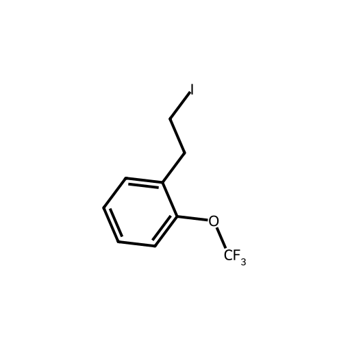 FC(F)(F)Oc1ccccc1CCI